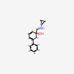 OC1(CNC2CC2)C=CC=C(c2ccccc2)C1